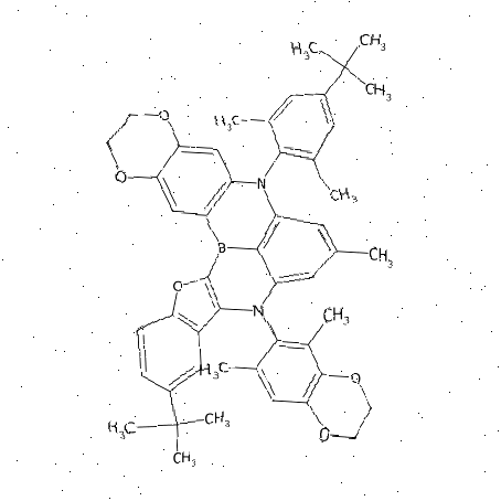 Cc1cc2c3c(c1)N(c1c(C)cc4c(c1C)OCCO4)c1c(oc4ccc(C(C)(C)C)cc14)B3c1cc3c(cc1N2c1c(C)cc(C(C)(C)C)cc1C)OCCO3